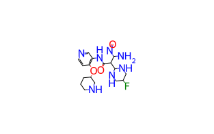 NC(N=O)C(C(=O)Nc1cnccc1O[C@H]1CCCNC1)C1NCC(F)CN1